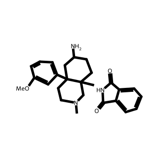 COc1cccc(C23CCN(C)CC2(C)CCC(N)C3)c1.O=C1NC(=O)c2ccccc21